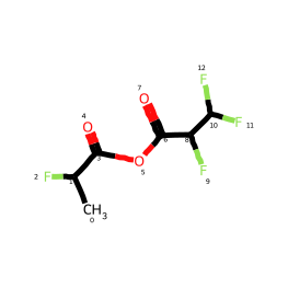 CC(F)C(=O)OC(=O)C(F)C(F)F